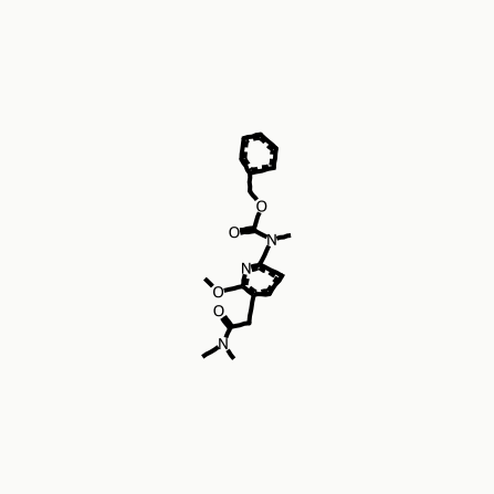 COc1nc(N(C)C(=O)OCc2ccccc2)ccc1CC(=O)N(C)C